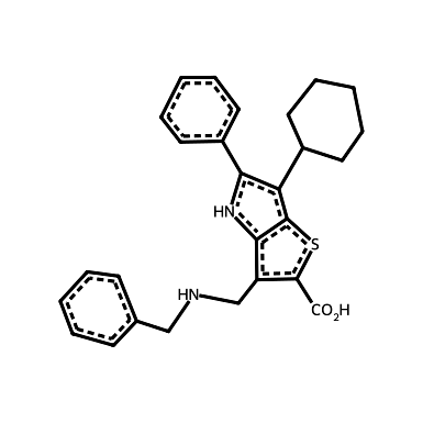 O=C(O)c1sc2c(C3CCCCC3)c(-c3ccccc3)[nH]c2c1CNCc1ccccc1